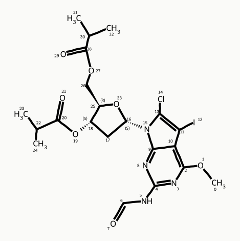 COc1nc(NC=O)nc2c1c(I)c(Cl)n2[C@@H]1C[C@H](OC(=O)C(C)C)[C@@H](COC(=O)C(C)C)O1